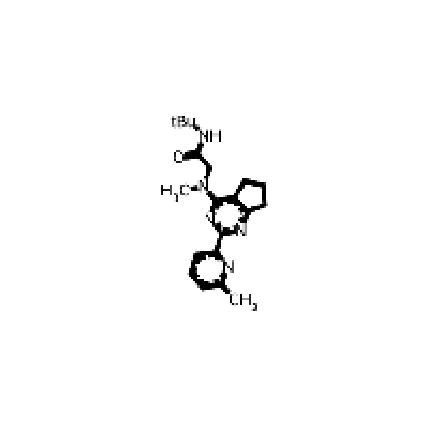 Cc1cccc(-c2nc3c(c(N(C)CC(=O)NC(C)(C)C)n2)CCC3)n1